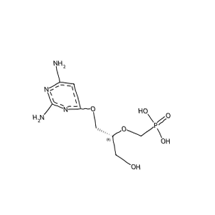 Nc1cc(OC[C@@H](CO)OCP(=O)(O)O)nc(N)n1